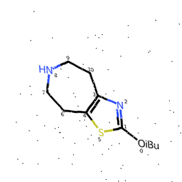 CC(C)COc1nc2c(s1)CCNCC2